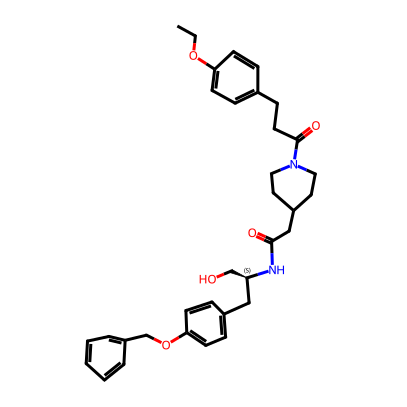 CCOc1ccc(CCC(=O)N2CCC(CC(=O)N[C@H](CO)Cc3ccc(OCc4ccccc4)cc3)CC2)cc1